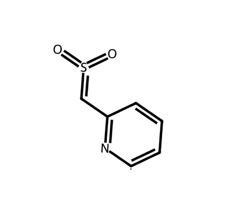 O=S(=O)=Cc1ccc[c]n1